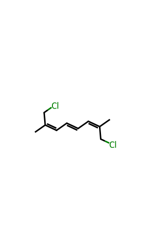 CC(=CC=CC=C(C)CCl)CCl